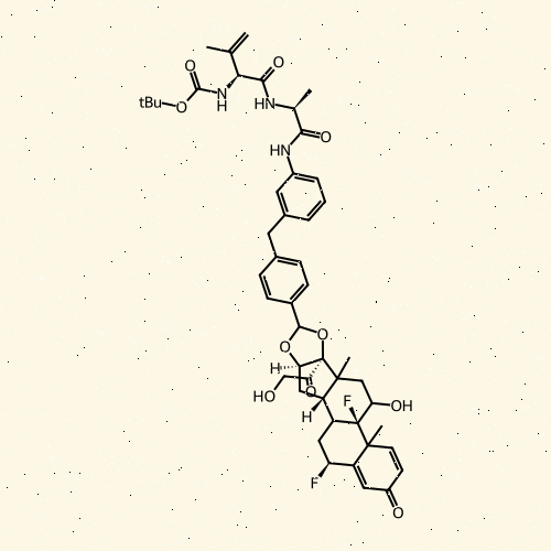 C=C(C)[C@H](NC(=O)OC(C)(C)C)C(=O)N[C@@H](C)C(=O)Nc1cccc(Cc2ccc(C3O[C@@H]4C[C@H]5C6C[C@H](F)C7=CC(=O)C=CC7(C)[C@@]6(F)C(O)CC5(C)[C@]4(C(=O)CO)O3)cc2)c1